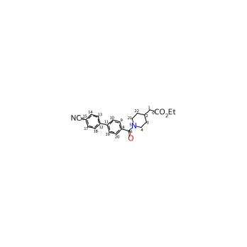 CCOC(=O)CC1CCN(C(=O)c2ccc(-c3ccc(C#N)cc3)cc2)CC1